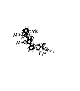 COc1cccc(OC)c1S(=O)(=O)Nc1noc2cc(-c3cccc(N4CCC(C(=O)COC(C(F)(F)F)C(F)(F)F)CC4)c3)cc(OC)c12